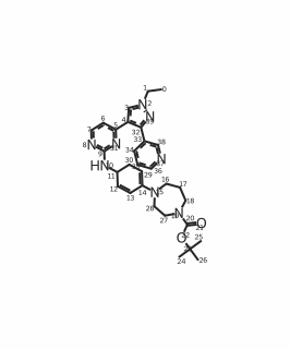 CCn1cc(-c2ccnc(NC3C=CC(N4CCCN(C(=O)OC(C)(C)C)CC4)=CC3)n2)c(-c2cccnc2)n1